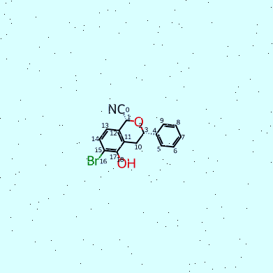 N#C[C@@H]1O[C@H](c2ccccc2)Cc2c1ccc(Br)c2O